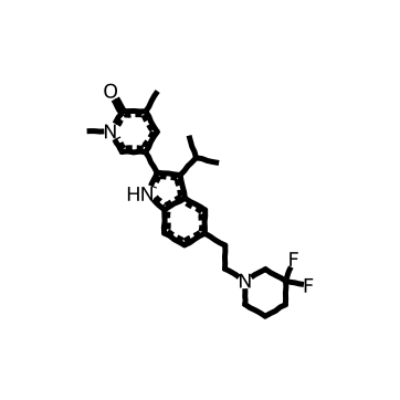 Cc1cc(-c2[nH]c3ccc(CCN4CCCC(F)(F)C4)cc3c2C(C)C)cn(C)c1=O